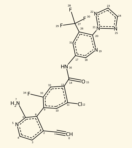 C#Cc1ccnc(N)c1-c1cc(Cl)c(C(=O)Nc2cnc(-n3nccn3)c(C(F)(F)F)c2)cc1F